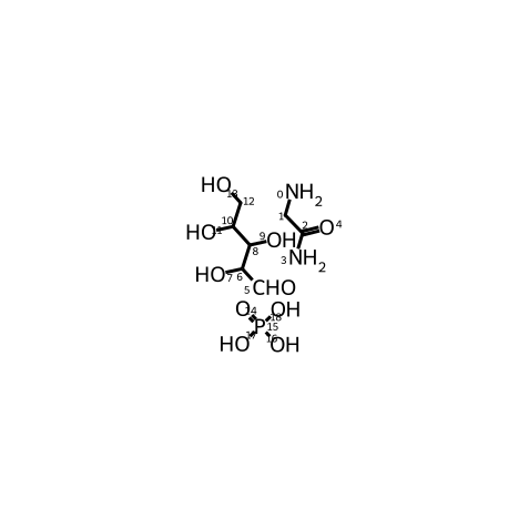 NCC(N)=O.O=CC(O)C(O)C(O)CO.O=P(O)(O)O